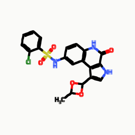 CC1OC(c2c[nH]c3c(=O)[nH]c4ccc(NS(=O)(=O)c5ccccc5Cl)cc4c23)O1